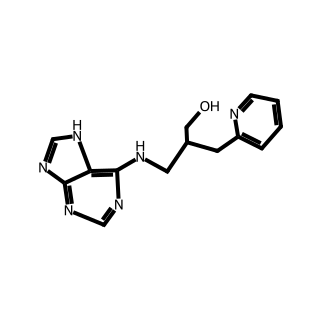 OCC(CNc1ncnc2nc[nH]c12)Cc1ccccn1